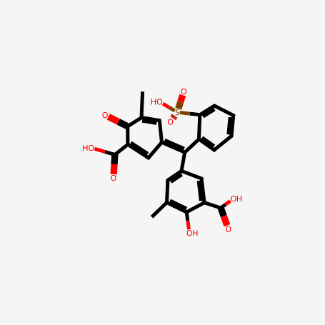 CC1=C/C(=C(/c2cc(C)c(O)c(C(=O)O)c2)c2ccccc2S(=O)(=O)O)C=C(C(=O)O)C1=O